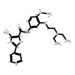 CCN(CC)CCOc1cc(NC(=O)c2sc(-c3ccncc3)nc2C)ccc1OC